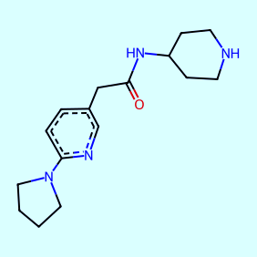 O=C(Cc1ccc(N2CCCC2)nc1)NC1CCNCC1